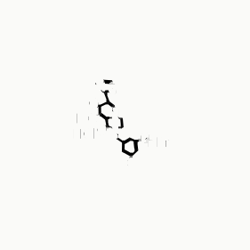 CCCOc1cc(Cl)cc(CN2CCn3cc(-c4nccs4)c(=O)c(O)c3C2=O)c1.Cl